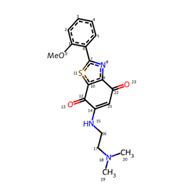 COc1ccccc1-c1nc2c(s1)C(=O)C(NCCN(C)C)=CC2=O